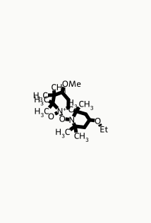 CCOC1CC(C)(C)N(O[N+]2([O-])CCC(OC)C(C)(C)C2(C)C)C(C)(C)C1